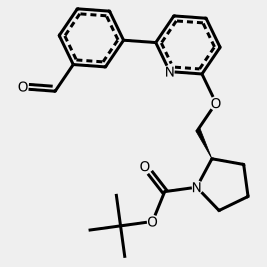 CC(C)(C)OC(=O)N1CCC[C@@H]1COc1cccc(-c2cccc(C=O)c2)n1